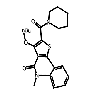 CCCCOc1c(C(=O)N2CCCCC2)sc2c1c(=O)n(C)c1ccccc21